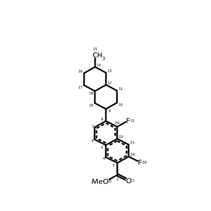 COC(=O)c1cc2ccc(C3CCC4CC(C)CCC4C3)c(F)c2cc1F